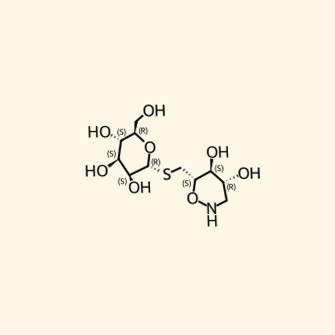 OC[C@H]1O[C@H](SC[C@H]2ONC[C@@H](O)[C@@H]2O)[C@@H](O)[C@@H](O)[C@@H]1O